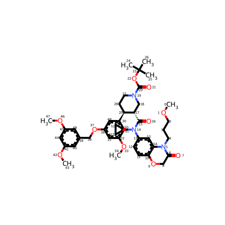 COCCCN1C(=O)COc2ccc(N(C(=O)[C@H]3CN(C(=O)OC(C)(C)C)CC[C@@H]3c3cc(OC)cc(OCc4cc(OC)cc(OC)c4)c3)C3CC3)cc21